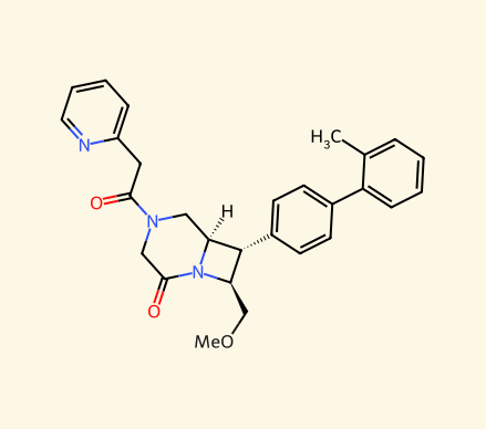 COC[C@@H]1[C@@H](c2ccc(-c3ccccc3C)cc2)[C@@H]2CN(C(=O)Cc3ccccn3)CC(=O)N12